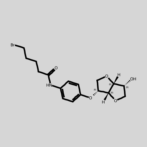 O=C(CCCCBr)Nc1ccc(O[C@@H]2CO[C@H]3[C@@H]2OC[C@H]3O)cc1